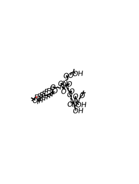 CC(O)COC(=O)CCn1c(=O)n(CCC(=O)OCCN2C(=O)N(CCO)C(O)N(CCOC(C)(C)C)C2=O)c(=O)n(CCC(=O)OC(F)(F)C(F)(F)C(F)(F)C(F)(F)C(F)(F)C(F)(F)C(F)(F)OC(C)(C)C)c1=O